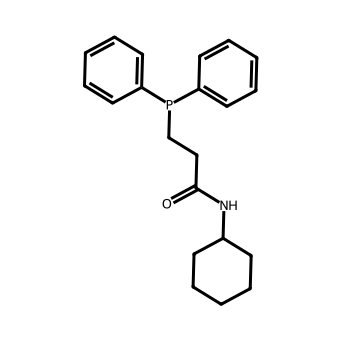 O=C(CCP(c1ccccc1)c1ccccc1)NC1CCCCC1